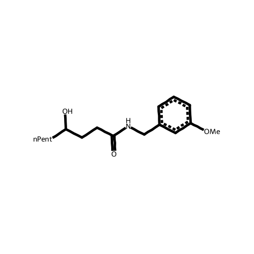 CCCCCC(O)CCC(=O)NCc1cccc(OC)c1